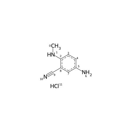 CNc1ccc(N)cc1C#N.Cl